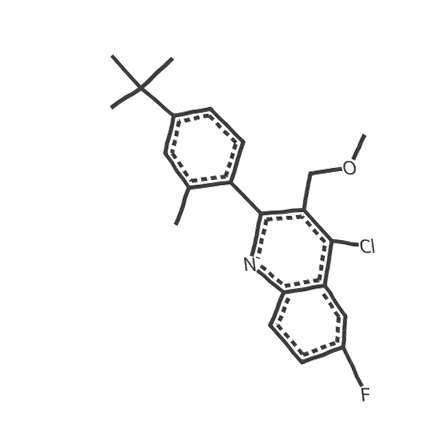 COCc1c(-c2ccc(C(C)(C)C)cc2C)nc2ccc(F)cc2c1Cl